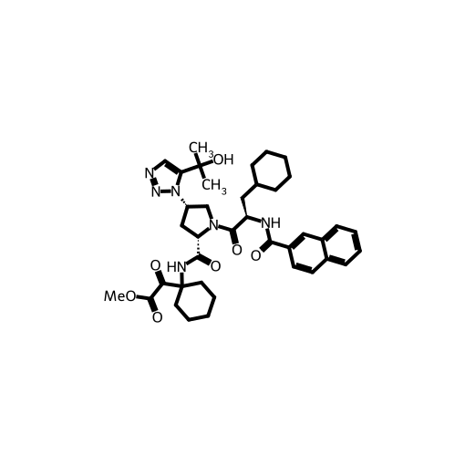 COC(=O)C(=O)C1(NC(=O)[C@@H]2C[C@H](n3nncc3C(C)(C)O)CN2C(=O)[C@@H](CC2CCCCC2)NC(=O)c2ccc3ccccc3c2)CCCCC1